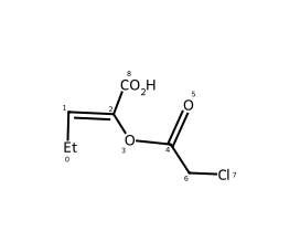 CCC=C(OC(=O)CCl)C(=O)O